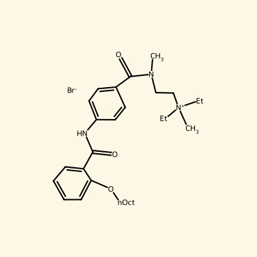 CCCCCCCCOc1ccccc1C(=O)Nc1ccc(C(=O)N(C)CC[N+](C)(CC)CC)cc1.[Br-]